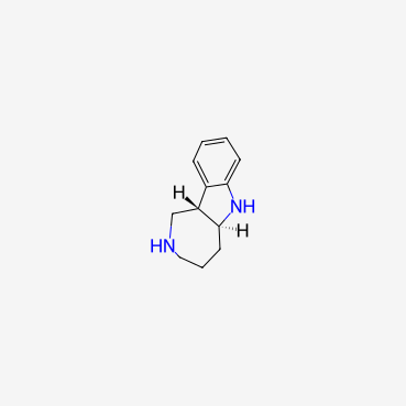 c1ccc2c(c1)N[C@H]1CCCNC[C@H]21